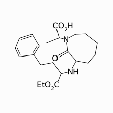 CCOC(=O)C(CCc1ccccc1)NC1CCCCCN(C(C)C(=O)O)C1=O